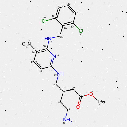 CC(C)(C)OC(=O)C[C@@H](CCN)CNc1ccc([N+](=O)[O-])c(NCc2c(Cl)cccc2Cl)n1